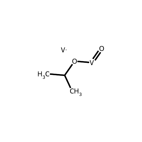 CC(C)[O][V]=[O].[V]